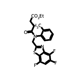 CCOC(=O)CCC(=O)N(Cc1nc2c(F)c(F)cc(F)c2s1)c1ccccc1C